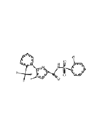 Cn1cc(C(=O)NS(=O)(=O)c2ccccc2Cl)nc1-c1ccccc1C(F)(F)F